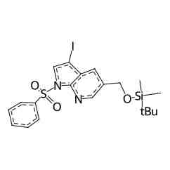 CC(C)(C)[Si](C)(C)OCc1cnc2c(c1)c(I)cn2S(=O)(=O)c1ccccc1